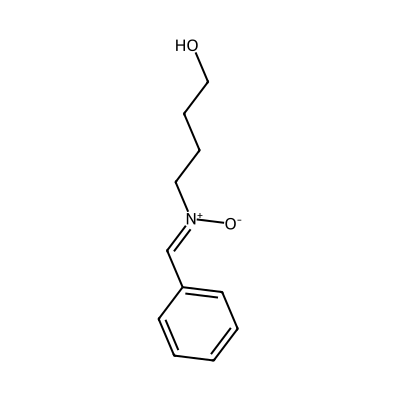 [O-][N+](=Cc1ccccc1)CCCCO